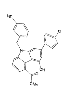 COC(=O)c1cccc2c1c1c(O)cc(-c3ccc(Cl)cc3)cc1n2Cc1cccc(C#N)c1